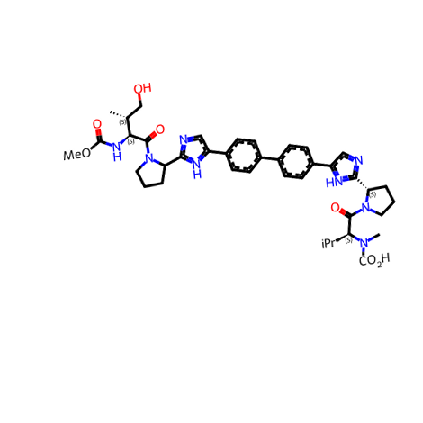 COC(=O)N[C@H](C(=O)N1CCCC1c1ncc(-c2ccc(-c3ccc(-c4cnc([C@@H]5CCCN5C(=O)[C@H](C(C)C)N(C)C(=O)O)[nH]4)cc3)cc2)[nH]1)[C@H](C)CO